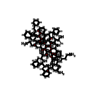 C[C@H](NC(=O)[C@H](Cc1ccccc1)NC(=O)[C@H](Cc1ccccc1)NC(=O)[C@@H](N)Cc1ccccc1)C(=O)NCC(=O)N[C@@H](CS)C(=O)N[C@@H](CCCCN)C(=O)N[C@@H](CC(N)=O)C(=O)N[C@@H](Cc1ccccc1)C(=O)N[C@@H](Cc1ccccc1)C(=O)N[C@H](Cc1c[nH]c2ccccc12)C(=O)N[C@@H](CCCCN)C(=O)N[C@H](C(=O)N[C@@H](Cc1ccccc1)C(=O)N[C@H](C(=O)N[C@@H](CO)C(=O)N[C@@H](CS)C(=O)O)[C@@H](C)O)[C@@H](C)O